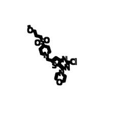 COCCCS(=O)(=O)C1CCN(Cc2cc3nc(Cl)nc(N4CCOCC4)c3s2)CC1